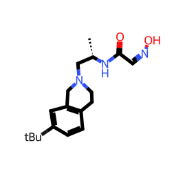 C[C@@H](CN1CCc2ccc(C(C)(C)C)cc2C1)NC(=O)/C=N\O